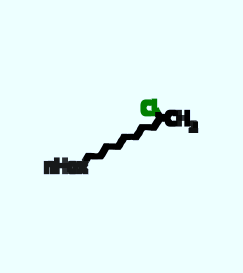 [CH2]CCCCCCCCCCCCCC(=C)Cl